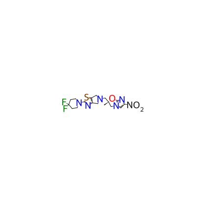 C[C@]1(CN2Cc3nc(N4CCC(F)(F)CC4)sc3C2)Cn2cc([N+](=O)[O-])nc2O1